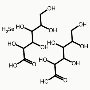 O=C(O)C(O)C(O)C(O)C(O)CO.O=C(O)C(O)C(O)C(O)C(O)CO.[SeH2]